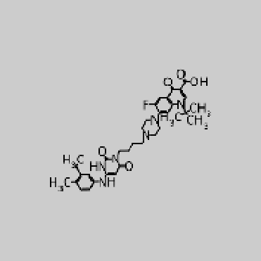 CCc1cc(Nc2cc(=O)n(CCCCN3CCN(c4cc5c(cc4F)c(=O)c(C(=O)O)cn5C(C)(C)C)CC3)c(=O)[nH]2)ccc1C